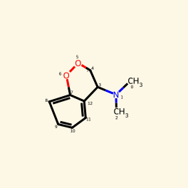 CN(C)C1[C]OOc2ccccc21